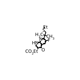 CCOC(=O)c1c[nH]c2nc(C(C)(C)CSCC)c(F)cc2c1=O